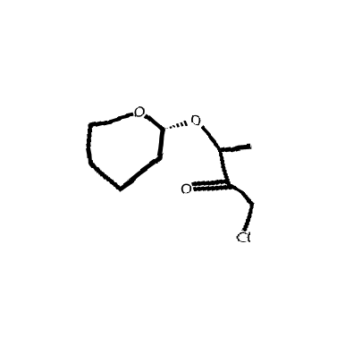 CC(O[C@@H]1CCCCO1)C(=O)CCl